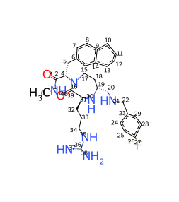 CNC(=O)[C@H](Cc1ccc2ccccc2c1)N1CC[C@H](CNCc2ccc(F)cc2)N[C@@H](CCCNC(=N)N)C1=O